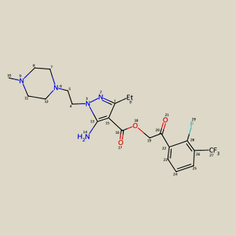 CCc1nn(CCN2CCN(C)CC2)c(N)c1C(=O)OCC(=O)c1cccc(C(F)(F)F)c1F